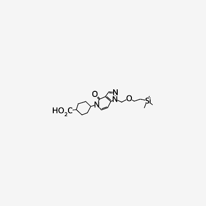 C[Si](C)(C)CCOCn1ncc2c(=O)n(C3CCC(C(=O)O)CC3)ccc21